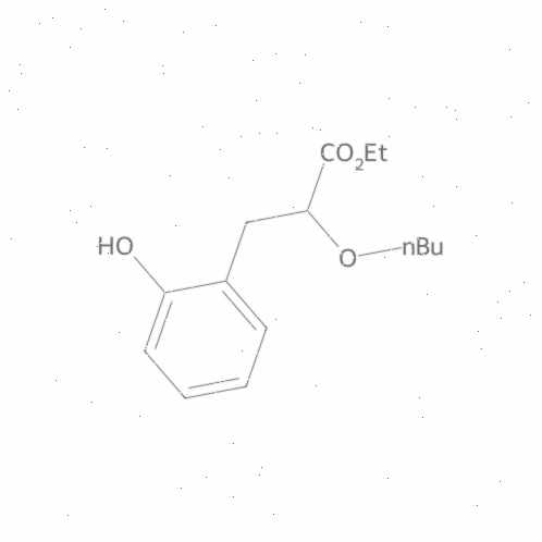 CCCCOC(Cc1ccccc1O)C(=O)OCC